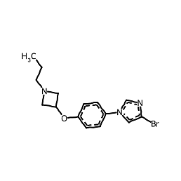 CCCN1CC(Oc2ccc(-n3cnc(Br)c3)cc2)C1